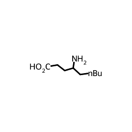 CCCCCC(N)CCC(=O)O